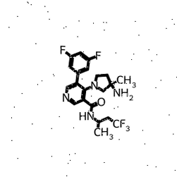 CC(CC(F)(F)F)NC(=O)c1cncc(-c2cc(F)cc(F)c2)c1N1CC[C@](C)(N)C1